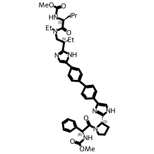 CC[C@@H](CN(CC)C(=O)[C@@H](NC(=O)OC)C(C)C)c1ncc(-c2ccc(-c3ccc(-c4c[nH]c([C@@H]5CCCN5C(=O)[C@H](NC(=O)OC)c5ccccc5)n4)cc3)cc2)[nH]1